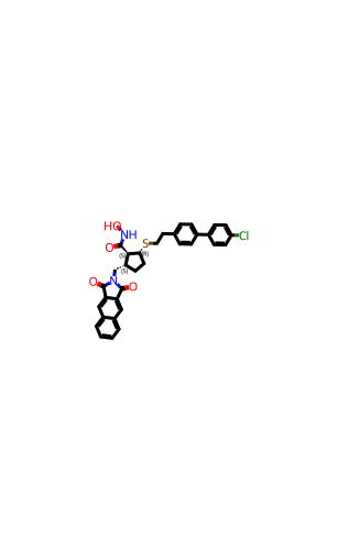 O=C(NO)[C@@H]1[C@@H](CN2C(=O)c3cc4ccccc4cc3C2=O)CC[C@H]1SCCc1ccc(-c2ccc(Cl)cc2)cc1